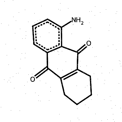 Nc1cccc2c1C(=O)C1=C(CCCC1)C2=O